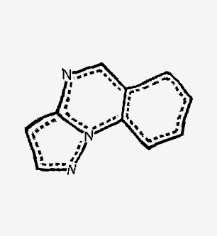 c1ccc2c(c1)cnc1ccnn12